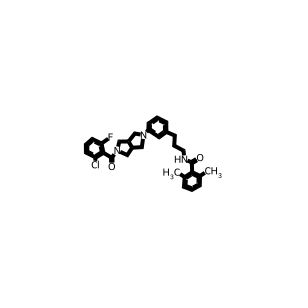 Cc1cccc(C)c1C(=O)NCCCc1cccc(N2CC3CN(C(=O)c4c(F)cccc4Cl)CC3C2)c1